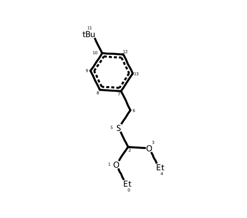 CCOC(OCC)SCc1ccc(C(C)(C)C)cc1